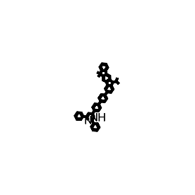 CC(C)C1c2ccc(-c3ccc(-c4ccc(C5C=C(c6ccccc6)N=C(c6ccccc6)N5)cc4)cc3)cc2-c2cc3c(cc21)-c1ccccc1C3(C)C